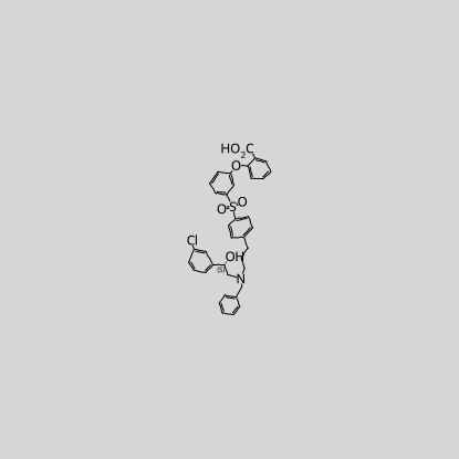 O=C(O)c1ccccc1Oc1cccc(S(=O)(=O)c2ccc(CCCN(Cc3ccccc3)C[C@@H](O)c3cccc(Cl)c3)cc2)c1